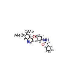 COc1cc2nccc(Oc3ccc(NC(=O)Cc4ccccc4)cc3)c2cc1OC